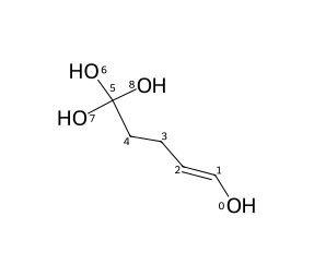 OC=CCCC(O)(O)O